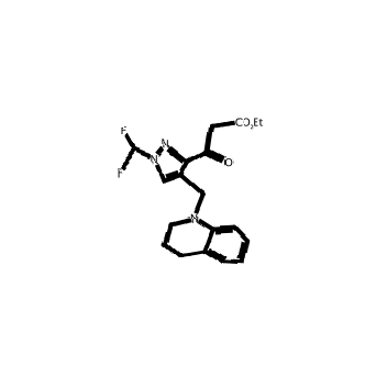 CCOC(=O)CC(=O)c1nn(C(F)F)cc1CN1CCCc2ccccc21